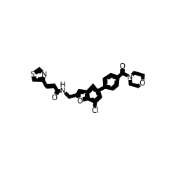 O=C(C=Cc1cscn1)NCc1cc2cc(-c3ccc(C(=O)N4CCOCC4)cc3)cc(Cl)c2o1